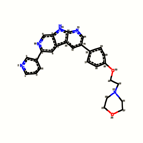 c1cncc(-c2cc3c(cn2)[nH]c2ncc(-c4ccc(OCCN5CCOCC5)cc4)cc23)c1